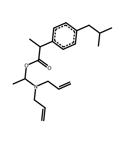 C=CCN(CC=C)C(C)OC(=O)C(C)c1ccc(CC(C)C)cc1